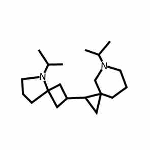 CC(C)N1CCCC2(CC2C2CC3(CCCN3C(C)C)C2)C1